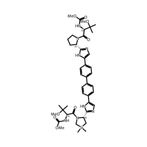 COC(=O)N[C@H](C(=O)N1CCC[C@H]1c1ncc(-c2ccc(-c3ccc(-c4cnc([C@@H]5C[Si](C)(C)CN5C(=O)[C@@H](NC(=O)OC)C(C)(C)OC)[nH]4)cc3)cc2)[nH]1)C(C)(C)OC